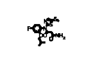 CSc1cnc(N(C(=O)CC(N)=O)c2ccc(F)cc2OCC(C)C)s1